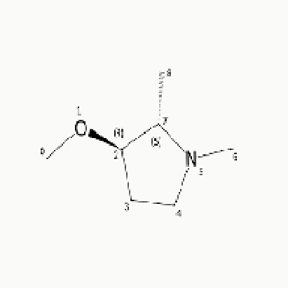 CO[C@@H]1CCN(C)[C@H]1C